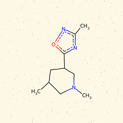 Cc1noc(C2CC(C)CN(C)C2)n1